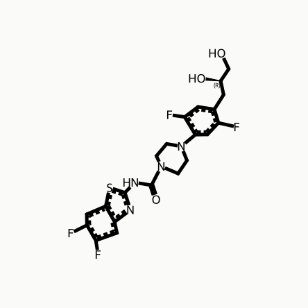 O=C(Nc1nc2cc(F)c(F)cc2s1)N1CCN(c2cc(F)c(C[C@@H](O)CO)cc2F)CC1